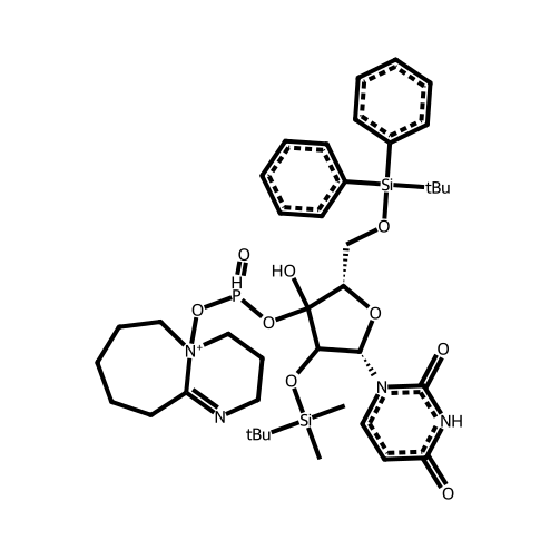 CC(C)(C)[Si](C)(C)OC1[C@@H](n2ccc(=O)[nH]c2=O)O[C@@H](CO[Si](c2ccccc2)(c2ccccc2)C(C)(C)C)C1(O)O[PH](=O)O[N+]12CCCCCC1=NCCC2